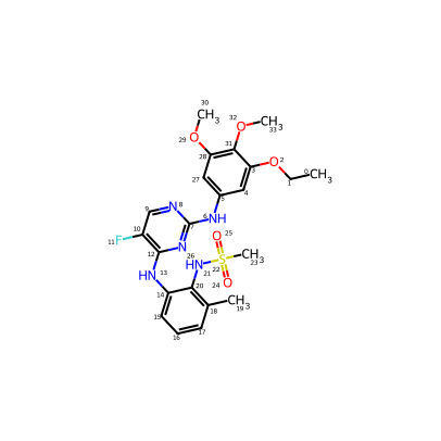 CCOc1cc(Nc2ncc(F)c(Nc3cccc(C)c3NS(C)(=O)=O)n2)cc(OC)c1OC